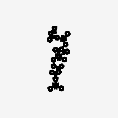 c1ccc(-c2nc(-c3ccccc3)nc(-c3ccc(-n4c5ccccc5c5c4ccc4c6ccccc6n(-c6cccc(-c7cccc(-c8nc(-c9ccccc9)nc(-n9c%10ccccc%10c%10cc(-c%11cccc(-c%12nc(-c%13ccccc%13)nc(-c%13ccc(-n%14c%15ccccc%15c%15ccc%16c%17ccccc%17sc%16c%15%14)cc%13)n%12)c%11)c%11c%12ccccc%12sc%11c%109)n8)c7)c6)c45)cc3)n2)cc1